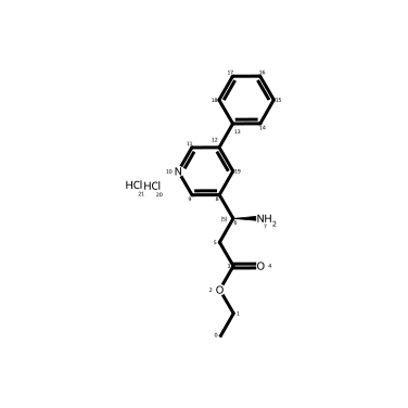 CCOC(=O)C[C@H](N)c1cncc(-c2ccccc2)c1.Cl.Cl